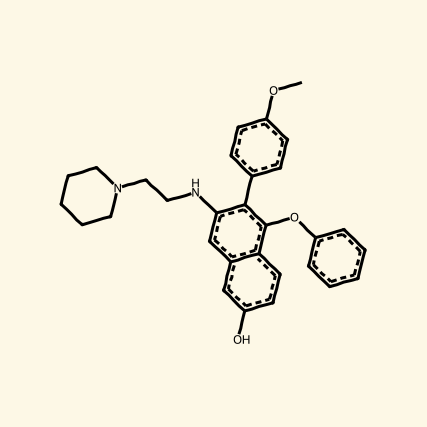 COc1ccc(-c2c(NCCN3CCCCC3)cc3cc(O)ccc3c2Oc2ccccc2)cc1